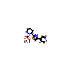 CC(C)(C)OC(=O)N1CCCCC1c1nc(-c2ccncc2)cs1